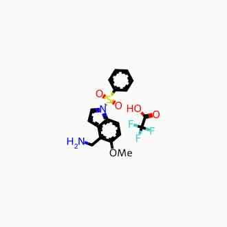 COc1ccc2c(ccn2S(=O)(=O)c2ccccc2)c1CN.O=C(O)C(F)(F)F